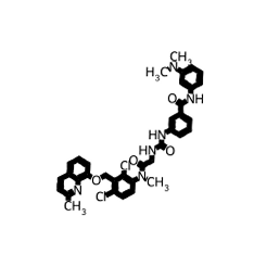 Cc1ccc2cccc(OCc3c(Cl)ccc(N(C)C(=O)CNC(=O)Nc4cccc(C(=O)Nc5cccc(N(C)C)c5)c4)c3Cl)c2n1